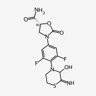 N=C1SCCN(c2c(F)cc(N3C[C@H](C(N)=O)OC3=O)cc2F)C1O